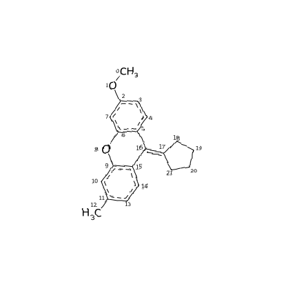 COc1ccc2c(c1)Oc1cc(C)ccc1C2=C1CCCC1